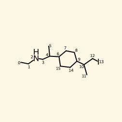 CCNCC(C)C1CCC(C(C)CI)CC1